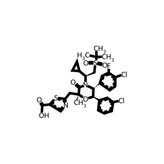 CC(C)(C)S(=O)(=O)C[C@H](C1CC1)N1C(=O)[C@](C)(Cc2ncc(C(=O)O)s2)O[C@H](c2cccc(Cl)c2)[C@H]1c1ccc(Cl)c(F)c1